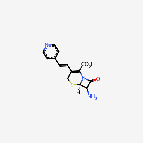 NC1C(=O)N2C(C(=O)O)=C(/C=C/c3ccncc3)CS[C@H]12